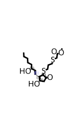 CCCCC[C@H](O)/C=C/[C@H]1[C@H](O)CC(=O)[C@@H]1SCCCSCC(=O)OC